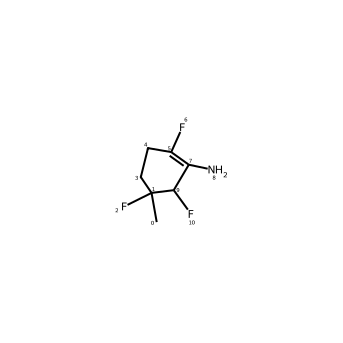 CC1(F)CCC(F)=C(N)C1F